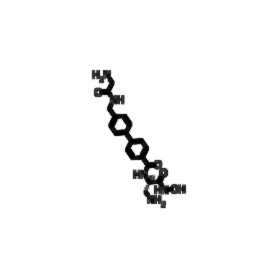 NCC(=O)NCc1ccc(-c2ccc(C(=O)N[C@@H](CN)C(=O)NO)cc2)cc1